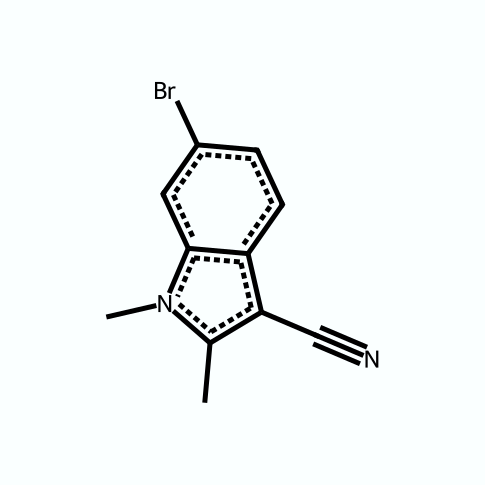 Cc1c(C#N)c2ccc(Br)cc2n1C